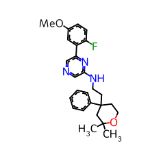 COc1ccc(F)c(-c2cncc(NCCC3(c4ccccc4)CCOC(C)(C)C3)n2)c1